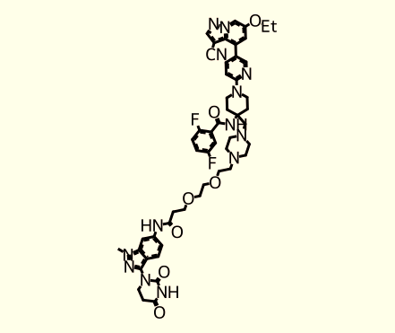 CCOc1cc(-c2ccc(N3CCC(CN4CCN(CCOCCOCCC(=O)Nc5ccc6c(N7CCC(=O)NC7=O)nn(C)c6c5)CC4)(NC(=O)c4cc(F)ccc4F)CC3)nc2)c2c(C#N)cnn2c1